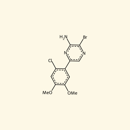 COc1cc(Cl)c(-c2cnc(Br)c(N)n2)cc1OC